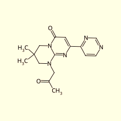 CC(=O)CN1CC(C)(C)Cn2c1nc(-c1ccncn1)cc2=O